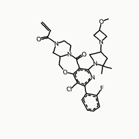 C=CC(=O)N1CCN2C(=O)c3c(N4CC(N5CC(OC)C5)CC4(C)C)nc(-c4ccccc4F)c(Cl)c3OCC2C1